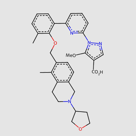 COc1c(C(=O)O)cnn1-c1cccc(-c2cccc(C)c2OCc2ccc3c(c2C)CCN(C2CCOC2)C3)n1